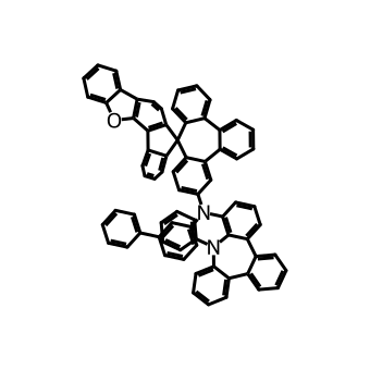 c1ccc(-c2cccc(N(c3ccc4c(c3)-c3ccccc3-c3ccccc3C43c4ccccc4-c4c3ccc3c4oc4ccccc43)c3cccc4c3N(c3ccccc3)c3ccccc3-c3ccccc3-4)c2)cc1